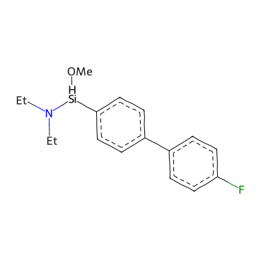 CCN(CC)[SiH](OC)c1ccc(-c2ccc(F)cc2)cc1